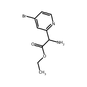 CCOC(=O)C(N)c1cc(Br)ccn1